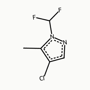 Cc1c(Cl)cnn1C(F)F